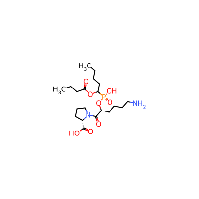 CCCCC(OC(=O)CCC)P(=O)(O)O[C@@H](CCCCN)C(=O)N1CCC[C@H]1C(=O)O